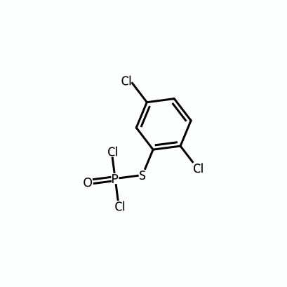 O=P(Cl)(Cl)Sc1cc(Cl)ccc1Cl